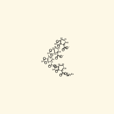 O=C([O-])c1cccc2c1OCO2.O=C([O-])c1cccc2c1OCO2.O=C([O-])c1cccc2c1OCO2.O=C([O-])c1cccc2c1OCO2.[Sn+4]